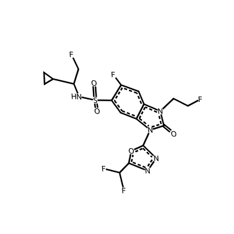 O=c1n(CCF)c2cc(F)c(S(=O)(=O)NC(CF)C3CC3)cc2n1-c1nnc(C(F)F)o1